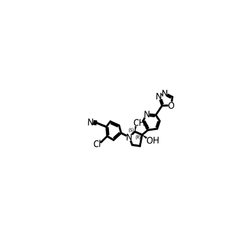 C[C@@H]1N(c2ccc(C#N)c(Cl)c2)CC[C@@]1(O)c1ccc(-c2nnco2)nc1